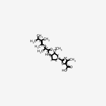 COC1CN(c2nc(C)c(C(=O)O)s2)CCC1NC(=O)/C(C)=N/C(C)=C(\C)C(C)C